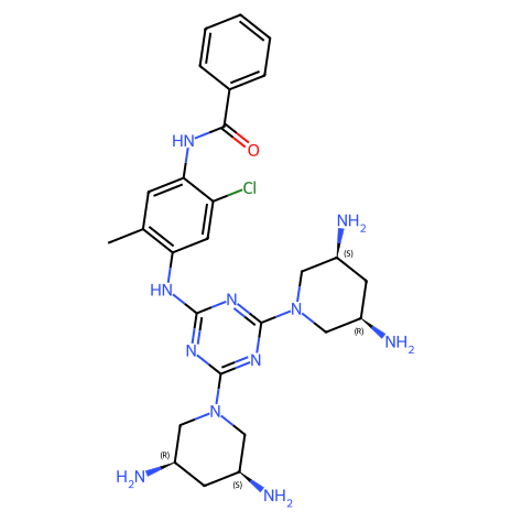 Cc1cc(NC(=O)c2ccccc2)c(Cl)cc1Nc1nc(N2C[C@H](N)C[C@H](N)C2)nc(N2C[C@H](N)C[C@H](N)C2)n1